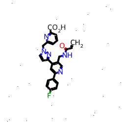 C=CC(=O)NCc1cnc(-c2ccc(F)cc2)cc1-c1ccn(Cc2cccc(C(=O)O)n2)n1